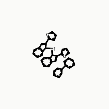 C1=C(c2ccco2)[CH]([Hf][CH]2C(c3ccco3)=Cc3ccccc32)c2ccccc21.c1ccc(-c2ccccc2)cc1